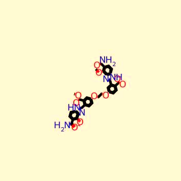 COC(=O)c1cc(OCCOc2ccc(C(=O)OC)c(-c3nc4c(OC)c(C(N)=O)ccc4[nH]3)c2)ccc1-c1nc2c(OC)c(C(N)=O)ccc2[nH]1